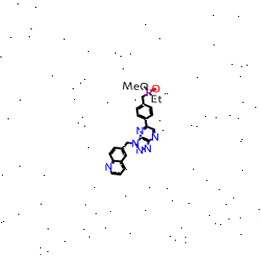 CCP(=O)(Cc1ccc(-c2cnc3nnn(Cc4ccc5ncccc5c4)c3n2)cc1)OC